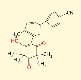 Cc1ccc(-c2ccc(C#N)cc2)cc1C1=C(O)C(C)(C)C(=O)C(C)(C)C1=O